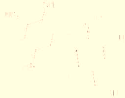 NC1OC(OC2(F)C(O)C(CO)OC(O)C2N=O)C(N=O)C(O)C1N